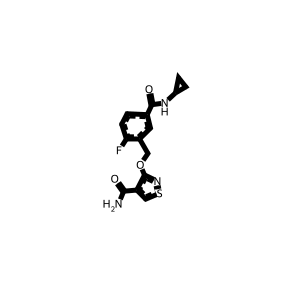 NC(=O)c1csnc1OCc1cc(C(=O)NC2CC2)ccc1F